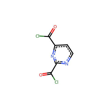 O=C(Cl)c1ccnc(C(=O)Cl)n1